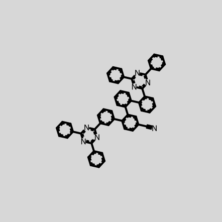 N#Cc1ccc(-c2cccc(-c3nc(-c4ccccc4)nc(-c4ccccc4)n3)c2)c(-c2ccccc2-c2ccccc2-c2nc(-c3ccccc3)nc(-c3ccccc3)n2)c1